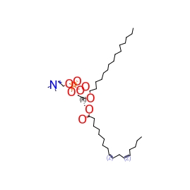 CCCC/C=C\C/C=C\CCCCCCCC(=O)OC[C@H](COP(=O)([O-])OCC[N+](C)(C)C)OC(=O)CCCCCCCCCCCCCC